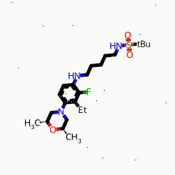 CCc1c(N2C[C@@H](C)O[C@@H](C)C2)ccc(NCCCCCNS(=O)(=O)C(C)(C)C)c1F